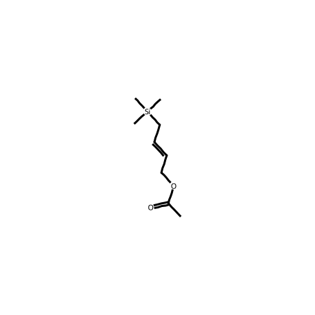 CC(=O)OCC=CC[Si](C)(C)C